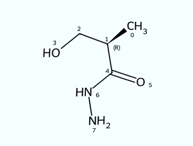 C[C@H](CO)C(=O)NN